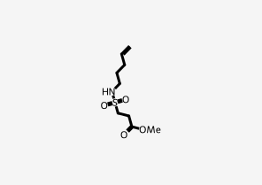 C=CCCCNS(=O)(=O)CCC(=O)OC